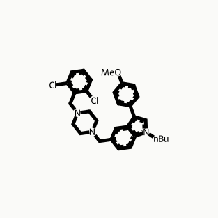 CCCCn1cc(-c2ccc(OC)cc2)c2cc(CN3CCN(Cc4c(Cl)cccc4Cl)CC3)ccc21